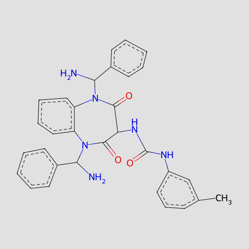 Cc1cccc(NC(=O)NC2C(=O)N(C(N)c3ccccc3)c3ccccc3N(C(N)c3ccccc3)C2=O)c1